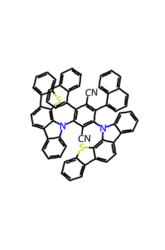 N#Cc1c(-c2cccc3ccccc23)c(-n2c3ccccc3c3ccc4c5ccccc5sc4c32)c(C#N)c(-n2c3ccccc3c3ccc4c5ccccc5sc4c32)c1-c1cccc2ccccc12